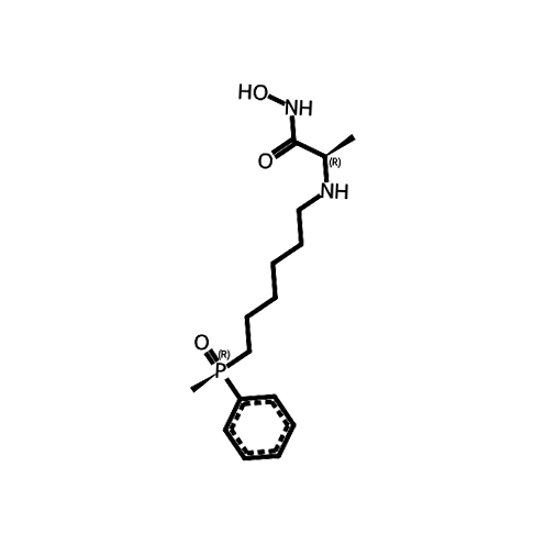 C[C@@H](NCCCCCC[P@@](C)(=O)c1ccccc1)C(=O)NO